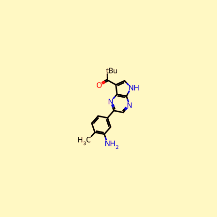 Cc1ccc(-c2cnc3[nH]cc(C(=O)C(C)(C)C)c3n2)cc1N